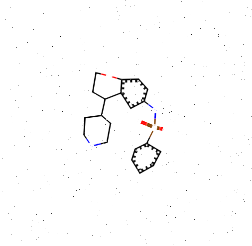 O=S(=O)(Nc1ccc2c(c1)C(C1CCNCC1)CCO2)c1ccccc1